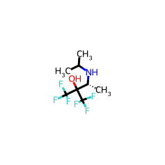 CC(C)N[C@H](C)C(O)(C(F)(F)F)C(F)(F)F